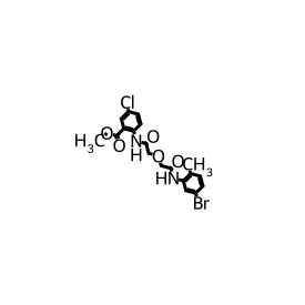 COC(=O)c1cc(Cl)ccc1NC(=O)COCC(=O)Nc1cc(Br)ccc1C